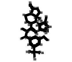 CCc1cc([C@@H](C)N(C)C(=O)N2CCN3C(=O)CC[C@H]3[C@@H]2c2c[nH]nc2C)cc(C(F)(F)F)c1